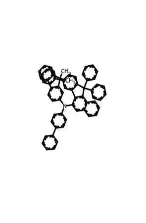 CC1(C)c2ccccc2-c2ccc(N(c3ccc(-c4ccccc4)cc3)c3cc4ccccc4c4c3-c3cc(-c5ccccc5)ccc3C4(c3ccccc3)c3ccccc3)cc21